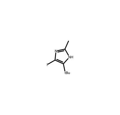 Cc1nc(I)c(C(C)(C)C)[nH]1